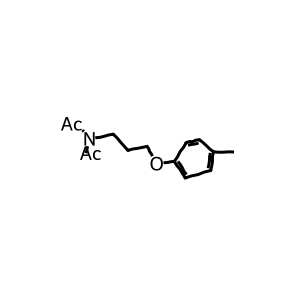 CC(=O)N(CCCOc1ccc(C)cc1)C(C)=O